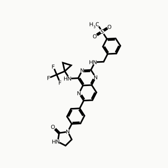 CS(=O)(=O)c1cccc(CNc2nc(NC3(C(F)(F)F)CC3)c3nc(-c4ccc(N5CCNC5=O)cc4)ccc3n2)c1